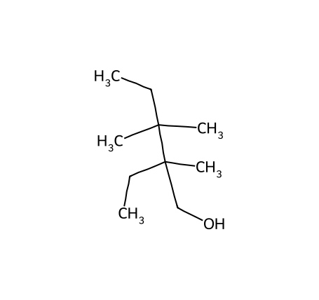 CCC(C)(C)C(C)(CC)CO